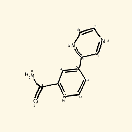 NC(=O)c1cc(-c2cnccn2)ccn1